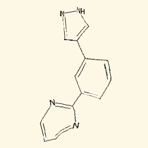 c1cnc(-c2cccc(-c3cn[nH]c3)c2)nc1